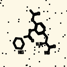 C1CCCCC1.CC(=O)Oc1ccc(C[C@H](N)C(=O)O)cc1OC(C)=O.Cl